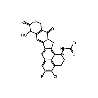 CCC(=O)N[C@H]1CCc2c(Cl)c(F)cc3nc4c(c1c23)Cn1c-4cc2c(c1=O)COC(=O)C2O